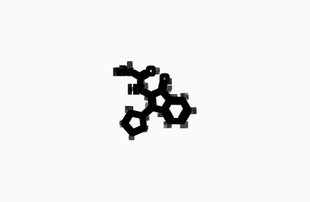 CCCCC(=O)NC1=C(C2CCCC2)c2ccccc2C1=O